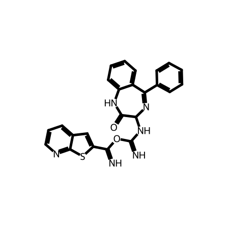 N=C(NC1N=C(c2ccccc2)c2ccccc2NC1=O)OC(=N)c1cc2cccnc2s1